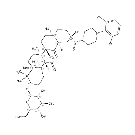 CC1(C)[C@@H](O[C@@H]2O[C@H](CO)[C@@H](O)[C@H](O)[C@H]2O)CC[C@]2(C)[C@H]3C(=O)C=C4[C@@H]5C[C@@](C)(C(=O)N6CCN(c7c(Cl)cccc7Cl)CC6)CC[C@]5(C)CC[C@@]4(C)[C@]3(C)CC[C@@H]12